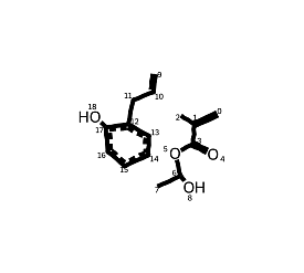 C=C(C)C(=O)OC(C)O.C=CCc1ccccc1O